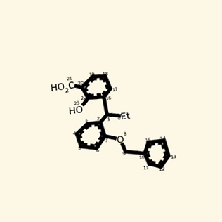 CCC(c1ccccc1OCc1ccccc1)c1cccc(C(=O)O)c1O